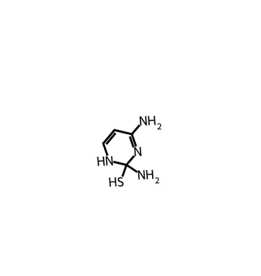 NC1=NC(N)(S)NC=C1